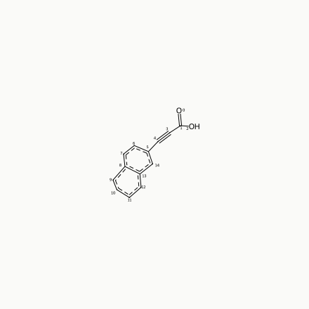 O=C(O)C#Cc1ccc2ccccc2c1